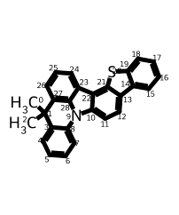 CC1(C)c2ccccc2-n2c3ccc4c5ccccc5sc4c3c3cccc1c32